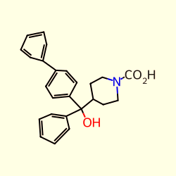 O=C(O)N1CCC(C(O)(c2ccccc2)c2ccc(-c3ccccc3)cc2)CC1